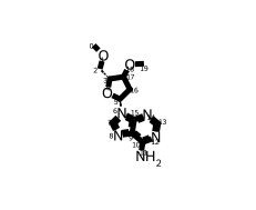 COC[C@H]1O[C@@H](n2cnc3c(N)ncnc32)CC1OC